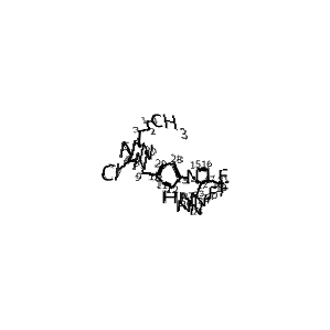 CCCCc1nc(Cl)n(Cc2ccc(-n3ccc(C(F)(F)F)c3-c3nnn[nH]3)cc2)n1